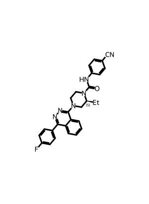 CC[C@H]1CN(c2nnc(-c3ccc(F)cc3)c3ccccc23)CCN1C(=O)Nc1ccc(C#N)cc1